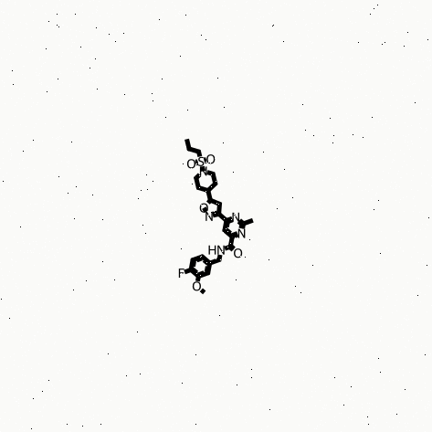 CCCS(=O)(=O)N1CCC(C2CC(c3cc(C(=O)NCc4ccc(F)c(OC)c4)nc(C)n3)=NO2)CC1